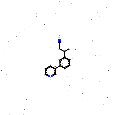 CC(CC#N)c1cccc(-c2cccnc2)c1